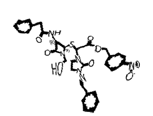 O=C(Cc1ccccc1)N[C@@H]1C(=O)N(CO)[C@@H]1SC(C(=O)OCc1ccc([N+](=O)[O-])cc1)N1CCN(N=Cc2ccccc2)C1=O